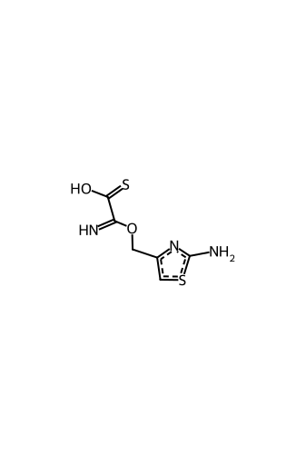 N=C(OCc1csc(N)n1)C(O)=S